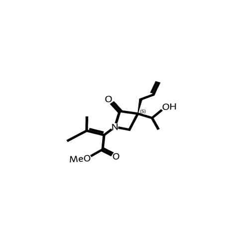 C=CC[C@@]1(C(C)O)CN(C(C(=O)OC)=C(C)C)C1=O